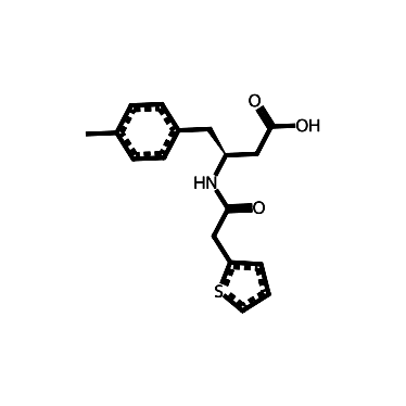 Cc1ccc(C[C@@H](CC(=O)O)NC(=O)Cc2cccs2)cc1